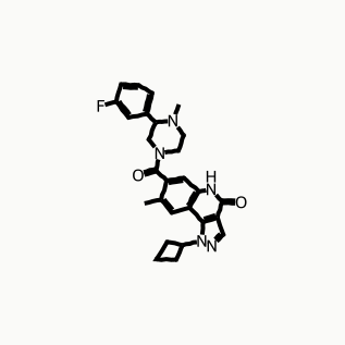 Cc1cc2c(cc1C(=O)N1CCN(C)C(c3cccc(F)c3)C1)[nH]c(=O)c1cnn(C3CCC3)c12